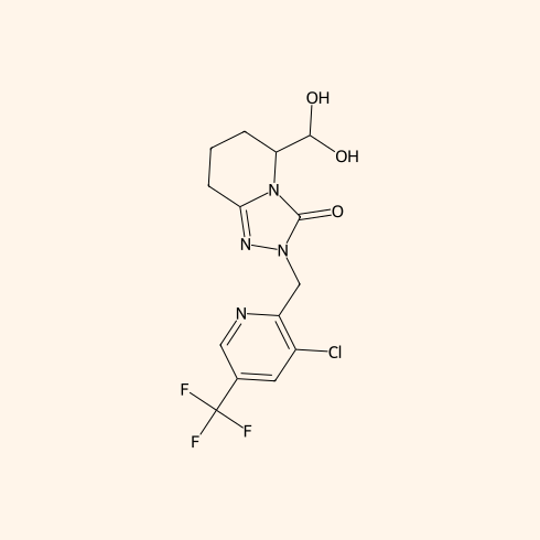 O=c1n(Cc2ncc(C(F)(F)F)cc2Cl)nc2n1C(C(O)O)CCC2